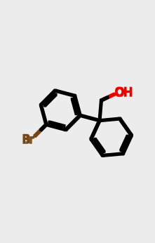 OCC1(c2cccc(Br)c2)C=CC=CC1